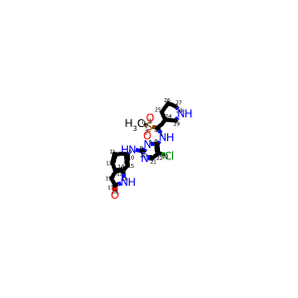 CS(=O)(=O)C(Nc1nc(Nc2ccc3c(c2)NC(=O)C3)ncc1Cl)C1CCCNC1